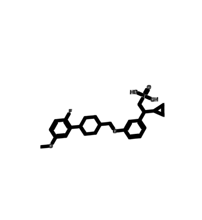 COc1ccc(F)c(C2CCC(COc3cccc(C(CP(=O)(O)O)C4CC4)c3)CC2)c1